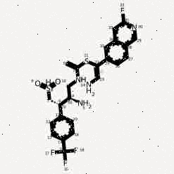 C=C(NC[C@@H](N)[C@@H](C[SH](=O)=O)c1ccc(C(F)(F)F)cc1)S/C(=C\N)c1ccc2cnc(F)cc2c1